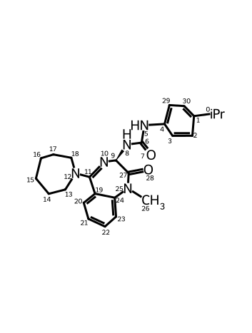 CC(C)c1ccc(NC(=O)N[C@@H]2N=C(N3CCCCCC3)c3ccccc3N(C)C2=O)cc1